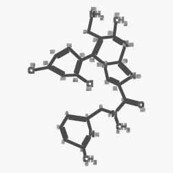 Cc1cccc(CN(C)C(=O)c2cn3c(-c4ccc(Cl)cc4Cl)c(CN)c(C)nc3n2)n1